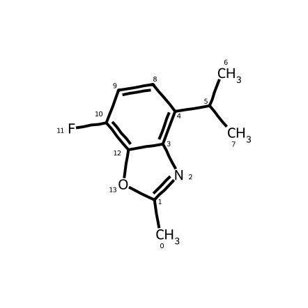 Cc1nc2c(C(C)C)ccc(F)c2o1